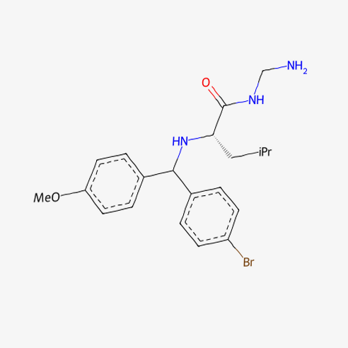 COc1ccc(C(N[C@@H](CC(C)C)C(=O)NCN)c2ccc(Br)cc2)cc1